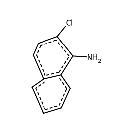 Nc1c(Cl)ccc2ccccc12